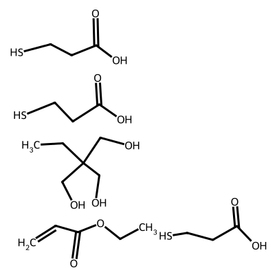 C=CC(=O)OCC.CCC(CO)(CO)CO.O=C(O)CCS.O=C(O)CCS.O=C(O)CCS